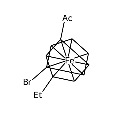 CC[C]12[CH]3[CH]4[C]5(C(C)=O)[CH]1[Fe]34251678[CH]2[CH]1[CH]6[C]7(Br)[CH]28